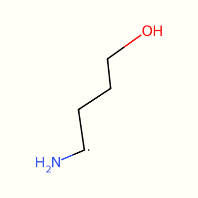 N[CH]CCCO